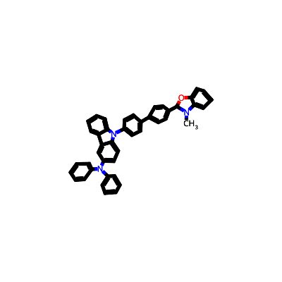 CN1c2ccccc2OC1c1ccc(-c2ccc(-n3c4ccccc4c4cc(N(c5ccccc5)c5ccccc5)ccc43)cc2)cc1